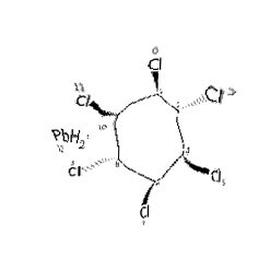 Cl[C@H]1[C@H](Cl)[C@@H](Cl)[C@@H](Cl)[C@H](Cl)[C@H]1Cl.[PbH2]